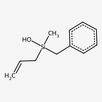 C=CC[Si](C)(O)Cc1ccccc1